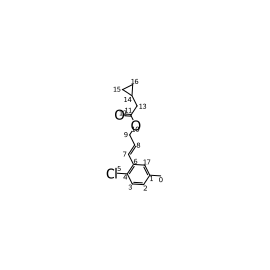 Cc1ccc(Cl)c(C=CCOC(=O)CC2CC2)c1